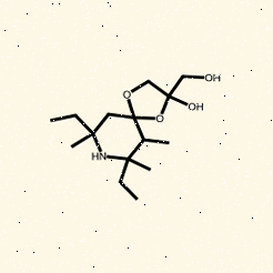 CCC1(C)CC2(OCC(O)(CO)O2)C(C)C(C)(CC)N1